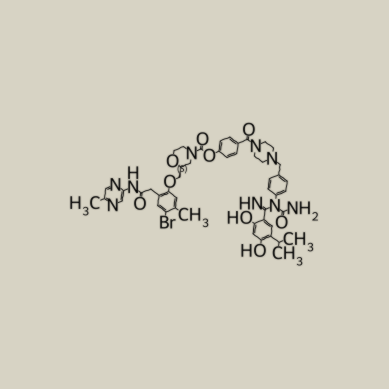 Cc1cnc(NC(=O)Cc2cc(Br)c(C)cc2OC[C@@H]2CN(C(=O)Oc3ccc(C(=O)N4CCN(Cc5ccc(N(C(=N)c6cc(C(C)C)c(O)cc6O)C(N)=O)cc5)CC4)cc3)CCO2)cn1